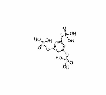 O=P(O)(O)Oc1cc(OP(=O)(O)O)cc(OP(=O)(O)O)c1